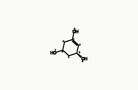 OC1=C[C@@H](O)CC(O)C1